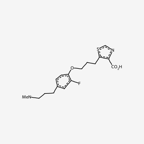 CNCCCc1ccc(OCCCc2scnc2C(=O)O)c(F)c1